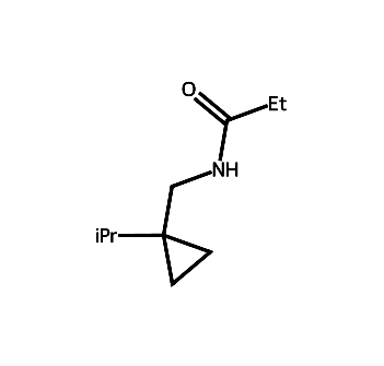 CCC(=O)NCC1(C(C)C)CC1